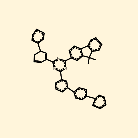 CC1(C)c2ccccc2-c2ccc(-c3nc(C4=CC(c5ccccc5)CC=C4)nc(-c4cccc(-c5ccc(-c6ccccc6)cc5)c4)n3)cc21